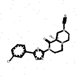 N#CN1CCN2CCN(c3nnc(-c4cccc(Cl)c4)o3)C(=O)[C@H]2C1